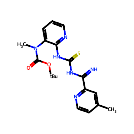 Cc1ccnc(C(=N)NC(=S)Nc2ncccc2N(C)C(=O)OC(C)(C)C)c1